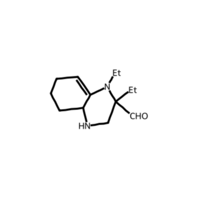 CCN1C2=CCCCC2NCC1(C=O)CC